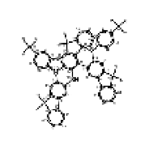 CC(c1ccc(C(C)(C)C)cc1)c1cc2c(cc1-c1c3c(c4c5cc(C(C)(C)C)ccc5n5c4c1Bc1cc4c(cc1-5)C(C)(C)c1ccccc1-4)C(C)(C)c1ccccc1-3)-c1ccccc1C2(C)C